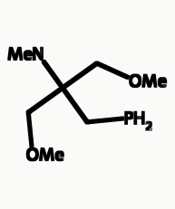 CNC(CP)(COC)COC